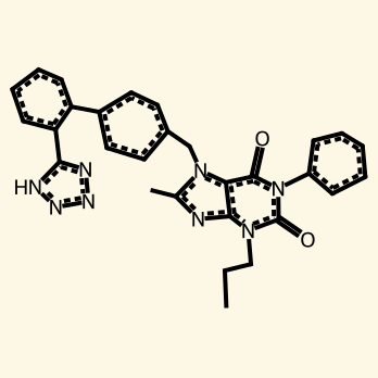 CCCn1c(=O)n(-c2ccccc2)c(=O)c2c1nc(C)n2Cc1ccc(-c2ccccc2-c2nnn[nH]2)cc1